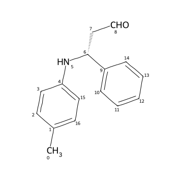 Cc1ccc(N[C@H](CC=O)c2ccccc2)cc1